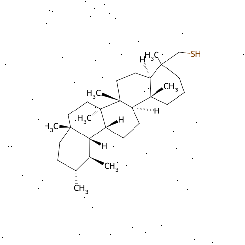 C[C@@H]1[C@H]2[C@H]3CC[C@@H]4[C@@]5(C)CCCC(C)(CS)[C@@H]5CC[C@@]4(C)[C@]3(C)CC[C@@]2(C)CC[C@H]1C